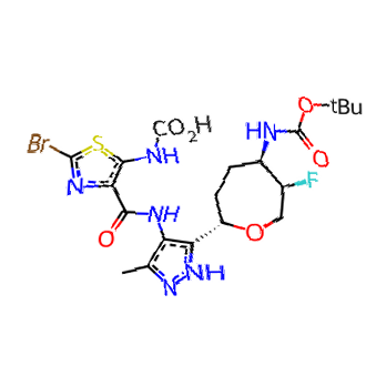 Cc1n[nH]c([C@@H]2CC[C@@H](NC(=O)OC(C)(C)C)[C@@H](F)CO2)c1NC(=O)c1nc(Br)sc1NC(=O)O